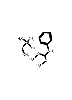 COC(OC)[SiH2]c1ccccc1.CO[Si](C)(C)C